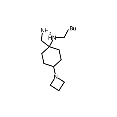 CCC(C)CNC1(CN)CCC(N2CCC2)CC1